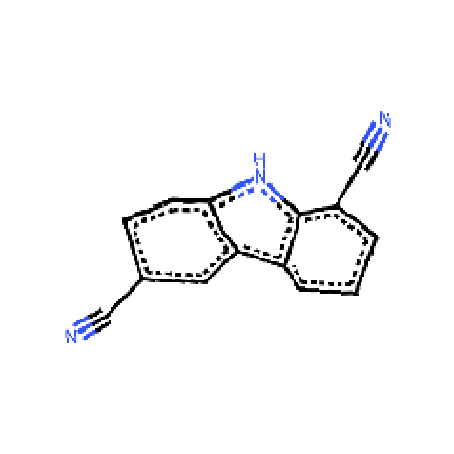 N#Cc1ccc2[nH]c3c(C#N)cccc3c2c1